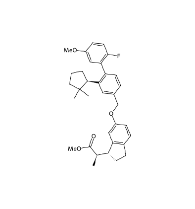 COC(=O)[C@H](C)[C@H]1CCc2ccc(OCc3ccc(-c4cc(OC)ccc4F)c([C@@H]4CCCC4(C)C)c3)cc21